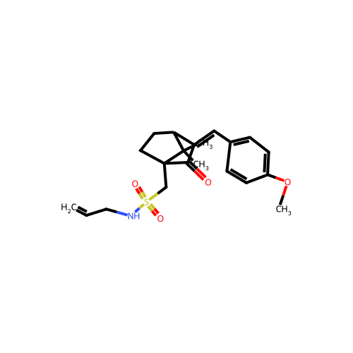 C=CCNS(=O)(=O)CC12CCC(/C(=C/c3ccc(OC)cc3)C1=O)C2(C)C